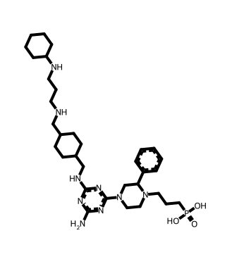 Nc1nc(NCC2CCC(CNCCCNC3CCCCC3)CC2)nc(N2CCN(CCCP(=O)(O)O)C(c3ccccc3)C2)n1